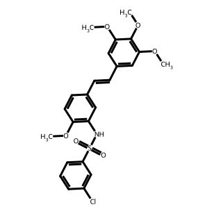 COc1ccc(C=Cc2cc(OC)c(OC)c(OC)c2)cc1NS(=O)(=O)c1cccc(Cl)c1